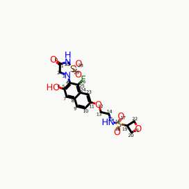 O=C1CN(c2c(O)cc3ccc(OCCNS(=O)(=O)C4COC4)cc3c2F)S(=O)(=O)N1